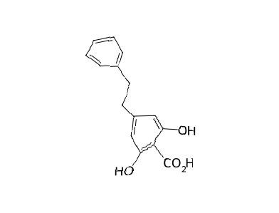 O=C(O)c1c(O)cc(CCc2ccccc2)cc1O